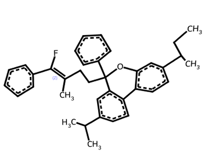 CCC(C)c1ccc2c(c1)OC(CC/C(C)=C(\F)c1ccccc1)(c1ccccc1)c1cc(C(C)C)ccc1-2